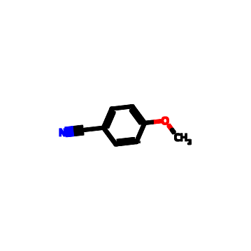 COc1[c]cc(C#N)cc1